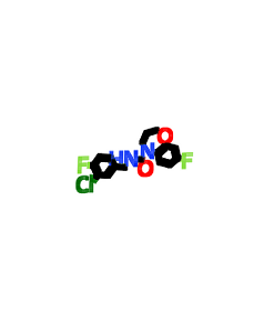 O=C(NCc1ccc(F)c(Cl)c1)N1CCCOc2cc(F)ccc21